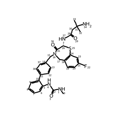 CNC(=O)Nc1ccccc1-c1ccc(CN2Cc3ccc(F)cc3S[C@@H](NC(=O)CC(C)(C)N)C2=O)cc1